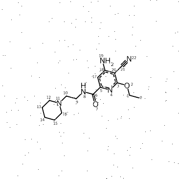 CCOc1nc(C(=O)NCCN2CCCCC2)cc(N)c1C#N